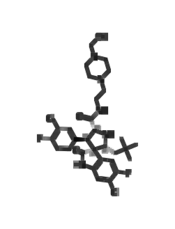 CC(C)(C)C[C@H]1N[C@@H](C(=O)NCCN2CCN(CO)CC2)[C@H](c2ccc(F)c(Cl)c2)[C@@]12C(=O)Nc1cc(Cl)c(F)cc12